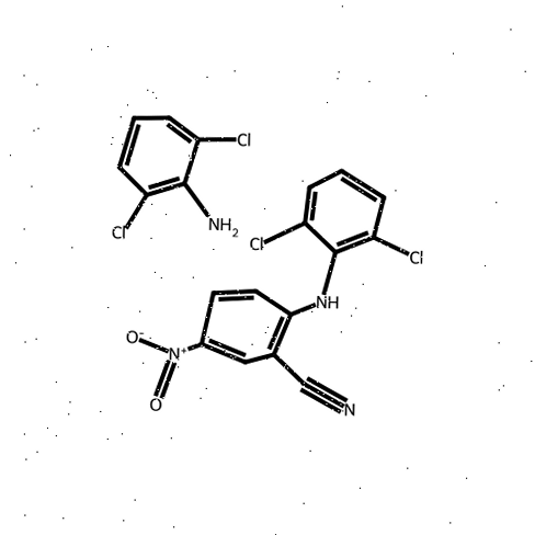 N#Cc1cc([N+](=O)[O-])ccc1Nc1c(Cl)cccc1Cl.Nc1c(Cl)cccc1Cl